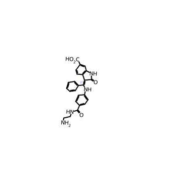 NCCNC(=O)c1ccc(N/C(=C2\C(=O)Nc3cc(C(=O)O)ccc32)c2ccccc2)cc1